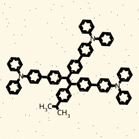 CC(C)c1ccc(C(=C(c2ccc(-c3ccc(N(c4ccccc4)c4ccccc4)cc3)cc2)c2ccc(-c3ccc(N(c4ccccc4)c4ccccc4)cc3)cc2)c2ccc(-c3ccc(N(c4ccccc4)c4ccccc4)cc3)cc2)cc1